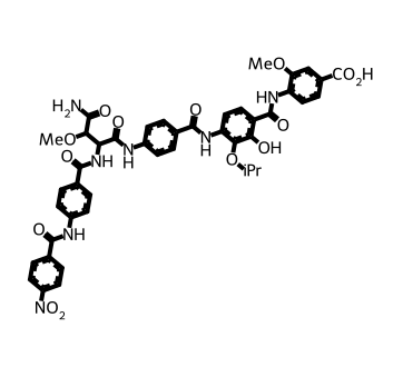 COc1cc(C(=O)O)ccc1NC(=O)c1ccc(NC(=O)c2ccc(NC(=O)C(NC(=O)c3ccc(NC(=O)c4ccc([N+](=O)[O-])cc4)cc3)C(OC)C(N)=O)cc2)c(OC(C)C)c1O